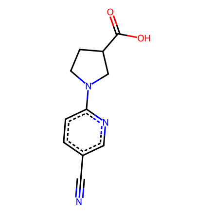 N#Cc1ccc(N2CCC(C(=O)O)C2)nc1